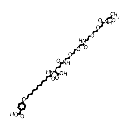 CC(=O)CNC(=O)COCCOCCNC(=O)COCCOCCNC(=O)CC[C@H](NC(=O)CCCCCCCCCCOc1ccc(C(=O)O)cc1)C(=O)O